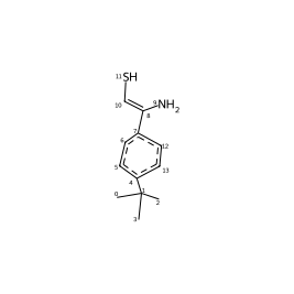 CC(C)(C)c1ccc(/C(N)=C/S)cc1